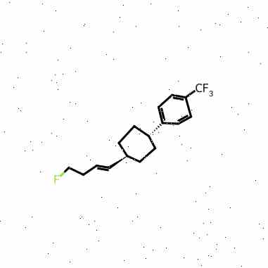 FCCC=C[C@H]1CC[C@H](c2ccc(C(F)(F)F)cc2)CC1